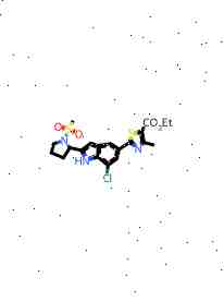 CCOC(=O)c1sc(-c2cc(Cl)c3[nH]c(C4CCCN4S(C)(=O)=O)cc3c2)nc1C